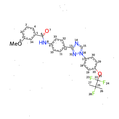 COc1cccc(C(=O)Nc2ccc(-c3ncn(-c4ccc(OC(F)(F)C(C)(C)F)cc4)n3)cc2)c1